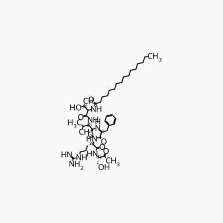 CCCCCCCCCCCCCCCC(=O)NC(C(=O)N[C@@H](C(=O)N[C@@H](Cc1ccccc1)C(=O)N[C@@H](CCCNC(=N)N)C(=O)N[C@@H](CO)C(C)=O)C(C)C)[C@@H](C)O